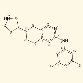 Cc1cc(C)cc(Nc2ncc3c(n2)CCN(C2CCNC2)C3)c1